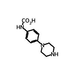 O=C(O)Nc1ccc(N2CCNCC2)cc1